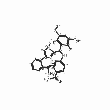 CCOc1cc(OC(C)C)c(F)c(C(Nc2ccc(C(=N)N)cc2)c2nc(-c3ccccc3C(N)=O)cn2C)c1